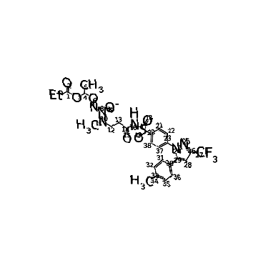 CCC(=O)OC(C)ON=[N+]([O-])N(C)CCC(=O)NS(=O)(=O)c1ccc(-n2nc(C(F)(F)F)cc2-c2ccc(C)cc2)cc1